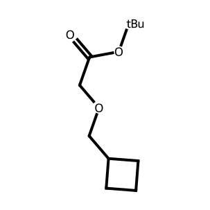 CC(C)(C)OC(=O)COCC1CCC1